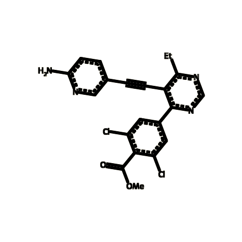 CCc1ncnc(-c2cc(Cl)c(C(=O)OC)c(Cl)c2)c1C#Cc1ccc(N)nc1